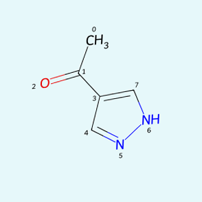 CC(=O)c1cn[nH]c1